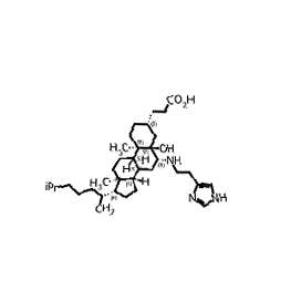 CC(C)CCCC(C)[C@H]1CC[C@H]2[C@@H]3C[C@@H](NCCc4c[nH]cn4)[C@@]4(O)C[C@@H](CCC(=O)O)CC[C@]4(C)[C@H]3CC[C@]12C